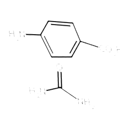 NC(N)=O.Nc1ccc(C(=O)O)cc1